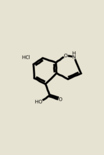 Cl.O=C(O)c1cccc2c1C=CNO2